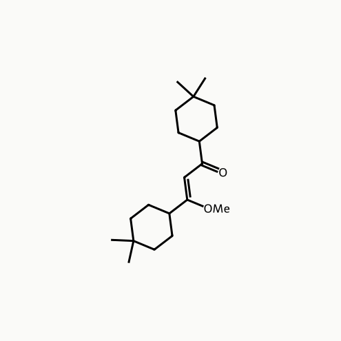 CO/C(=C\C(=O)C1CCC(C)(C)CC1)C1CCC(C)(C)CC1